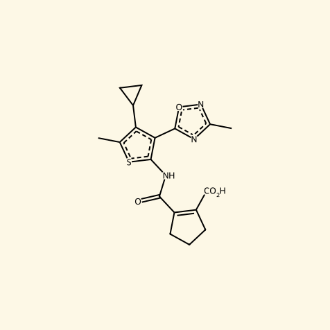 Cc1noc(-c2c(NC(=O)C3=C(C(=O)O)CCC3)sc(C)c2C2CC2)n1